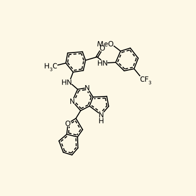 COc1ccc(C(F)(F)F)cc1NC(=O)c1ccc(C)c(Nc2nc(-c3cc4ccccc4o3)c3[nH]ccc3n2)c1